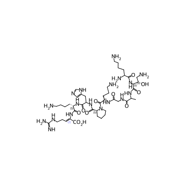 CC(NC(=O)[C@@H](NC(=O)C(N)CCCCN)[C@@H](O)CN)C(=O)NCC(=O)N[C@H](CCCN)C(=O)N1CCCC[C@H]1C(=O)NC(Cc1cnc[nH]1)C(=O)N[C@@H](CCCCN)C(=O)N/C(=C\CCNC(=N)N)C(=O)O